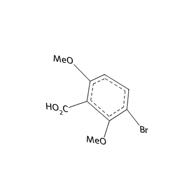 COc1ccc(Br)c(OC)c1C(=O)O